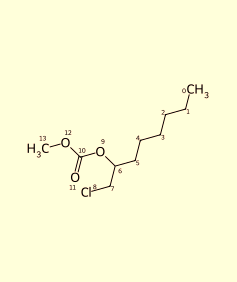 CCCCCCC(CCl)OC(=O)OC